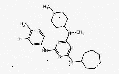 CN1CCC(N(C)c2nc(Nc3ccc(N)c(F)c3)nc(NC3CCCCCC3)n2)CC1